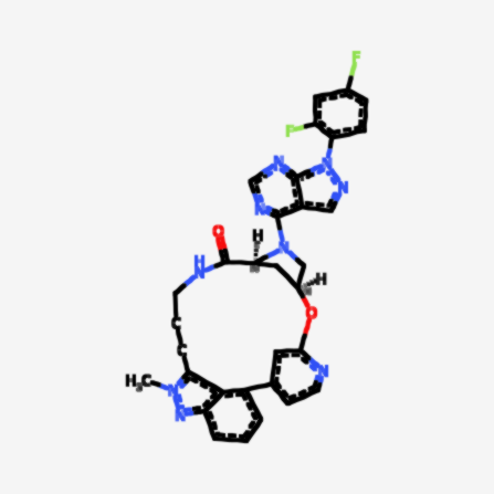 Cn1nc2cccc3c2c1CCCNC(=O)[C@@H]1C[C@@H](CN1c1ncnc2c1cnn2-c1ccc(F)cc1F)Oc1cc-3ccn1